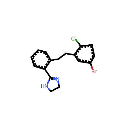 Clc1ccc(Br)cc1CCc1ccccc1C1=NCCN1